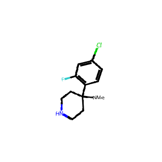 CNC1(c2ccc(Cl)cc2F)CCNCC1